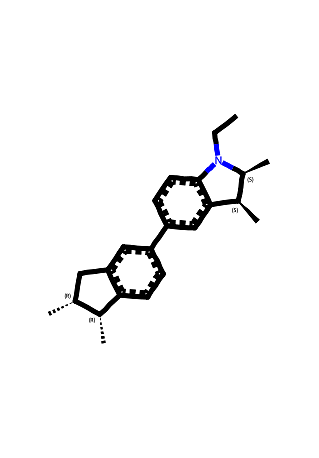 CCN1c2ccc(-c3ccc4c(c3)C[C@@H](C)[C@H]4C)cc2[C@H](C)[C@@H]1C